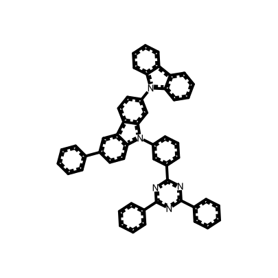 c1ccc(-c2ccc3c(c2)c2ccc(-n4c5ccccc5c5ccccc54)cc2n3-c2cccc(-c3nc(-c4ccccc4)nc(-c4ccccc4)n3)c2)cc1